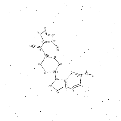 COc1ccc2c(c1)C(N1CCN(C(=O)c3sccc3Br)CC1)CC2